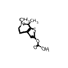 CC1c2sc(OC(=O)O)cc2CCN1C